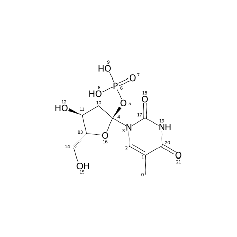 Cc1cn([C@@]2(OP(=O)(O)O)C[C@H](O)[C@@H](CO)O2)c(=O)[nH]c1=O